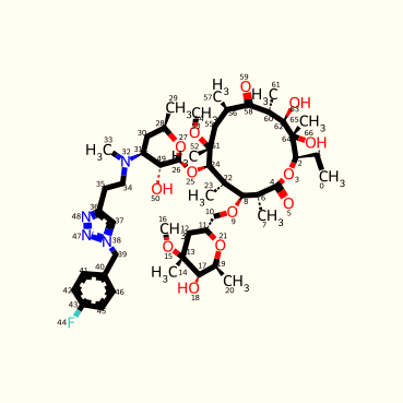 CC[C@H]1OC(=O)[C@H](C)[C@@H](OC[C@H]2C[C@@](C)(OC)[C@@H](O)[C@H](C)O2)[C@H](C)[C@@H](O[C@@H]2O[C@H](C)C[C@H](N(C)CCc3cn(Cc4ccc(F)cc4)nn3)[C@H]2O)[C@](C)(OC)C[C@@H](C)C(=O)[C@H](C)[C@@H](O)[C@]1(C)O